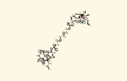 C=CCC1CCC23c4c5ccc(OC(=O)OCCOCCOCCOC(=O)Oc6ccc7c8c6O[C@H]6C(=O)CC[C@@]9(O)[C@@H](C7)N(CC=C)CCC869)c4O[C@H]2C(=O)CC[C@@]3(OC)[C@@H](C5)C1C